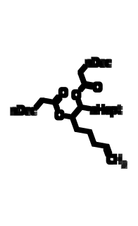 C=CCCCC(OC(=O)CCCCCCCCCCC)C(CCCCCCC)OC(=O)CCCCCCCCCCC